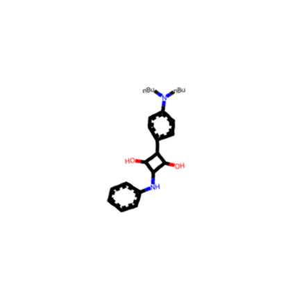 CCCCN(CCCC)c1ccc(C2C(O)C(Nc3ccccc3)C2O)cc1